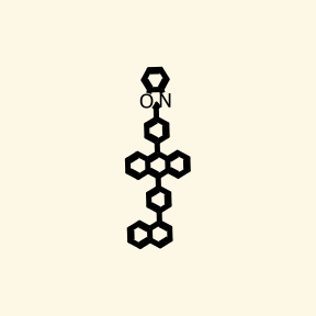 c1ccc2c(-c3ccc(-c4c5ccccc5c(-c5ccc(-c6nc7ccccc7o6)cc5)c5ccccc45)cc3)cccc2c1